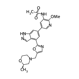 COc1ncc(-c2cc(-c3ncc(CN4CCO[C@H](C)C4)o3)c3cn[nH]c3c2)cc1NS(C)(=O)=O